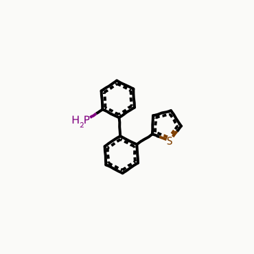 Pc1ccccc1-c1ccccc1-c1cccs1